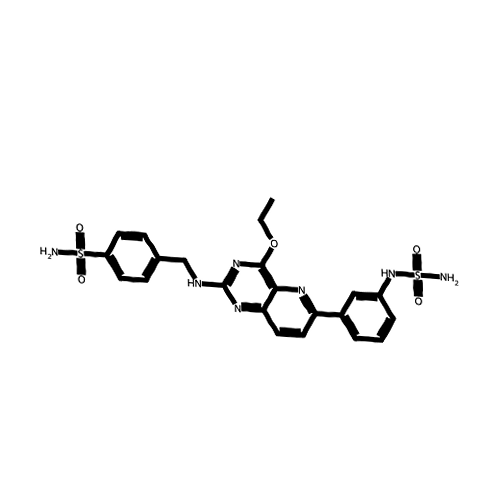 CCOc1nc(NCc2ccc(S(N)(=O)=O)cc2)nc2ccc(-c3cccc(NS(N)(=O)=O)c3)nc12